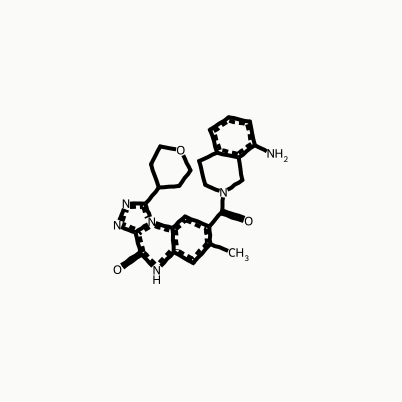 Cc1cc2[nH]c(=O)c3nnc(C4CCOCC4)n3c2cc1C(=O)N1CCc2cccc(N)c2C1